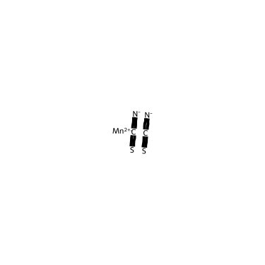 [Mn+2].[N-]=C=S.[N-]=C=S